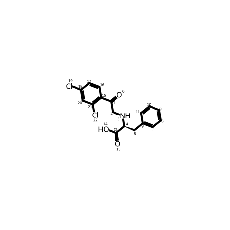 O=C(CN[C@@H](Cc1ccccc1)C(=O)O)c1ccc(Cl)cc1Cl